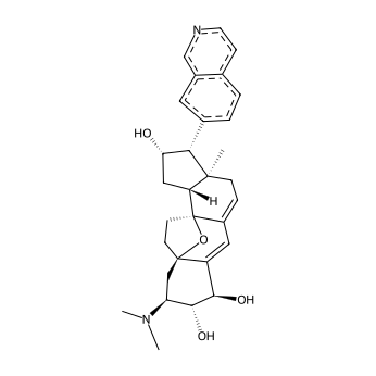 CN(C)[C@H]1C[C@@]23CC[C@@]4(O2)C(=CC[C@@]2(C)[C@H]4C[C@H](O)[C@@H]2c2ccc4ccncc4c2)C=C3[C@@H](O)[C@@H]1O